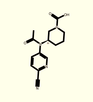 CC(=O)N(c1ccc(C#N)nc1)[C@@H]1CCCN(C(=O)O)C1